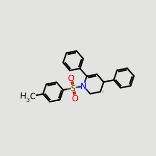 Cc1ccc(S(=O)(=O)N2C[CH]C(c3ccccc3)C=C2c2ccccc2)cc1